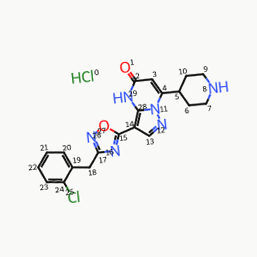 Cl.O=c1cc(C2CCNCC2)n2ncc(-c3nc(Cc4ccccc4Cl)no3)c2[nH]1